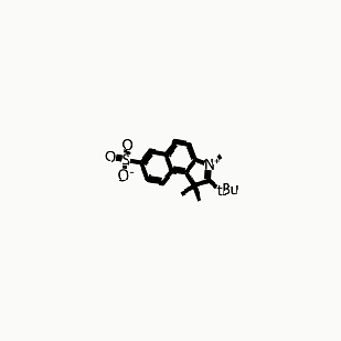 C[N+]1=C(C(C)(C)C)C(C)(C)c2c1ccc1cc(S(=O)(=O)[O-])ccc21